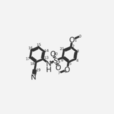 COc1ccc(OC)c(S(=O)(=O)Nc2ccccc2C#N)c1